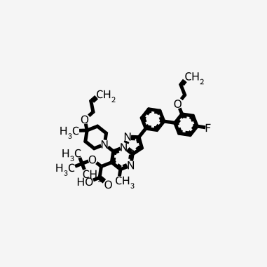 C=CCOc1cc(F)ccc1-c1cccc(-c2cc3nc(C)c(C(OC(C)(C)C)C(=O)O)c(N4CCC(C)(OCC=C)CC4)n3n2)c1